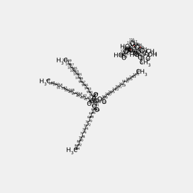 CCCCC(CC)C(=O)O.CCCCCCCCCCCCCCCCCCCCCC(=O)OCC(COC(=O)CCCCCCCCCCCCCCCCCCCCC)(COC(=O)CCCCCCCCCCCCCCCCCCCCC)COC(=O)CCCCCCCCCCCCCCCCCCCCC.O=C(O)c1ccccc1.O=C(O)c1ccccc1.O=C(O)c1ccccc1.O=C(O)c1ccccc1